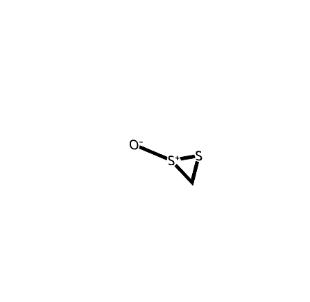 [O-][S+]1CS1